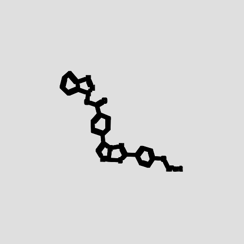 CCCCCOc1ccc(-c2nn3c(-c4ccc(C(=O)On5nnc6ccccc65)cc4)cnc3s2)cc1